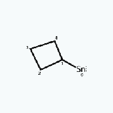 [Sn][CH]1CCC1